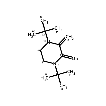 C=C1C(=O)N(C(C)(C)C)CCN1C(C)(C)C